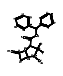 CC1(C)C(C(=O)OC(c2ccccc2)c2ccccc2)N2C(=O)CC2[S+]1[O-]